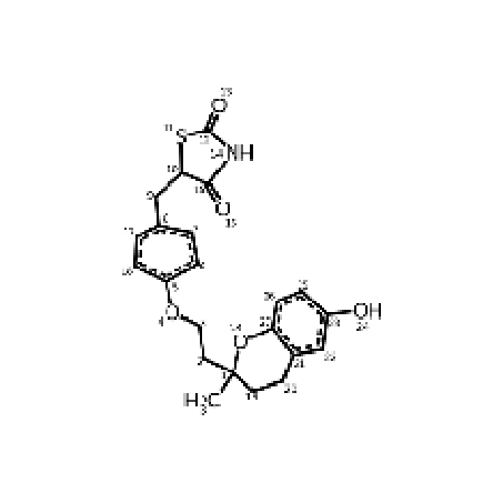 CC1(CCOc2ccc(CC3SC(=O)NC3=O)cc2)CCc2cc(O)ccc2O1